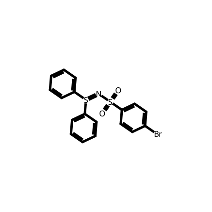 O=S(=O)(N=S(c1ccccc1)c1ccccc1)c1ccc(Br)cc1